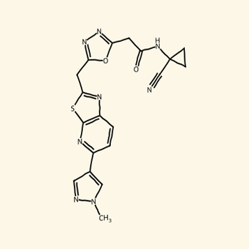 Cn1cc(-c2ccc3nc(Cc4nnc(CC(=O)NC5(C#N)CC5)o4)sc3n2)cn1